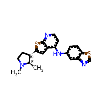 C[C@@H]1[C@@H](c2cc3c(Nc4ccc5scnc5c4)ccnc3s2)CCN1C